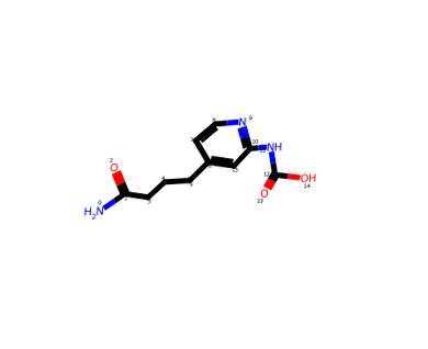 NC(=O)CCCc1ccnc(NC(=O)O)c1